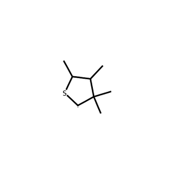 CC1S[CH]C(C)(C)C1C